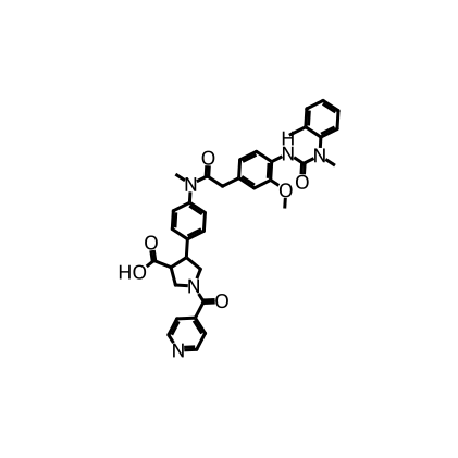 COc1cc(CC(=O)N(C)c2ccc(C3CN(C(=O)c4ccncc4)CC3C(=O)O)cc2)ccc1NC(=O)N(C)c1ccccc1C